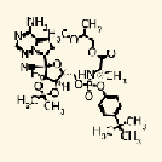 COC(C)COC(=O)[C@H](C)NP(=O)(OC[C@H]1O[C@@](C#N)(C2CC=C3C(N)=NC=NN32)[C@@H]2OC(C)(C)O[C@@H]21)Oc1ccc(C(C)(C)C)cc1